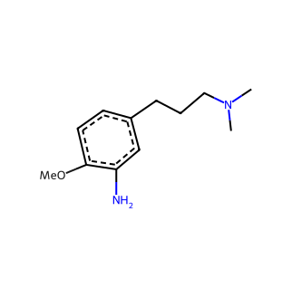 COc1ccc(CCCN(C)C)cc1N